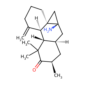 C=C1CCC[C@]23C[C@]2(N)C[C@H]2C[C@@H](C)C(=O)C(C)(C)[C@@H]2[C@@H]13